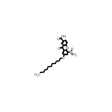 CCCCCCCCCCCCOc1cc([S+](C)[O-])c2oc3ccc(C(=O)O)cc3c(=O)c2c1